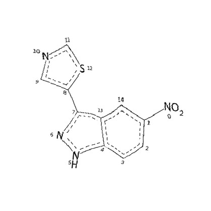 O=[N+]([O-])c1ccc2[nH]nc(-c3cncs3)c2c1